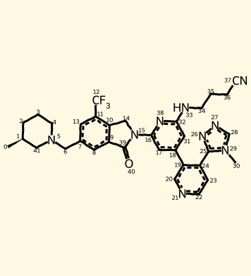 C[C@H]1CCCN(Cc2cc3c(c(C(F)(F)F)c2)CN(c2cc(-c4cnccc4-c4nncn4C)cc(NCCCC#N)n2)C3=O)C1